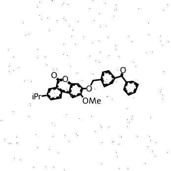 COc1cc2c(cc1OCc1ccc(C(=O)c3ccccc3)cc1)oc(=O)c1cc(C(C)C)ccc12